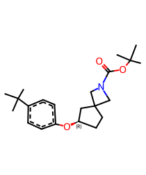 CC(C)(C)OC(=O)N1CC2(CC[C@@H](Oc3ccc(C(C)(C)C)cc3)C2)C1